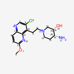 COc1ccc2ncc(Cl)c(CCN3CC[C@@H](N)[C@@H](O)C3)c2n1